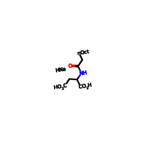 CCCCCCCCCC(=O)NC(CC(=O)O)C(=O)O.[NaH]